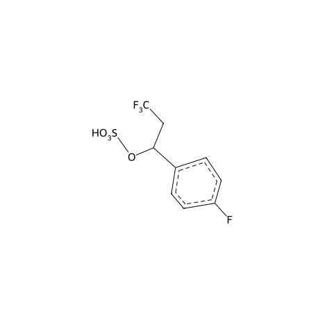 O=S(=O)(O)OC(CC(F)(F)F)c1ccc(F)cc1